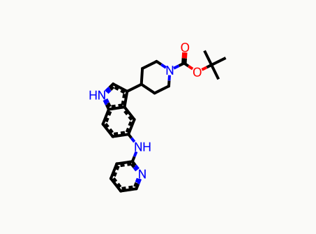 CC(C)(C)OC(=O)N1CCC(c2c[nH]c3ccc(Nc4ccccn4)cc23)CC1